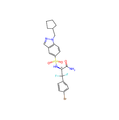 NC(=O)[C@H](NS(=O)(=O)c1ccc2c(cnn2CC2CCCC2)c1)C(F)(F)c1ccc(Br)cc1